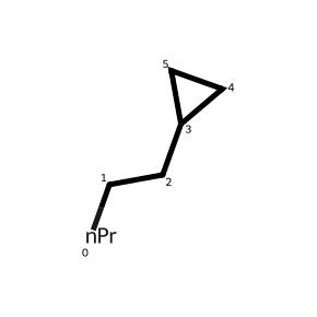 C[CH]CCCC1CC1